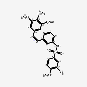 COc1ccc(S(=O)(=O)Nc2cccc(/C=C\c3cc(OC)c(OC)c(OC)c3)c2)cc1Cl